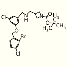 CC(C)(C)OC(=O)N1CC(CNCc2cc(Cl)cc(OCc3ccc(Cl)cc3Br)c2)C1